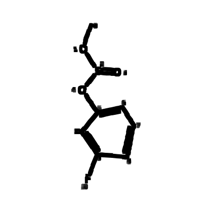 COS(=O)Oc1cccc(F)c1